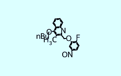 CCCCOc1c(C)c(COc2cc(N=O)ccc2F)nc2ccccc12